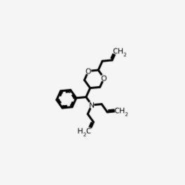 C=CCC1OCC(C(c2ccccc2)N(CC=C)CC=C)CO1